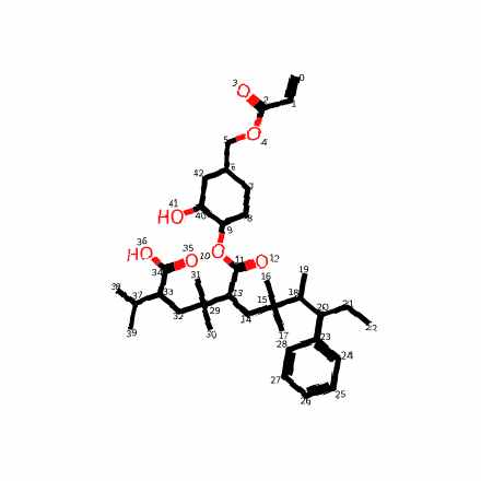 C=CC(=O)OCC1CCC(OC(=O)C(CC(C)(C)C(C)C(CC)c2ccccc2)C(C)(C)CC(C(=O)O)C(C)C)C(O)C1